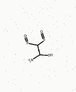 NC(O)C(P=O)P=O